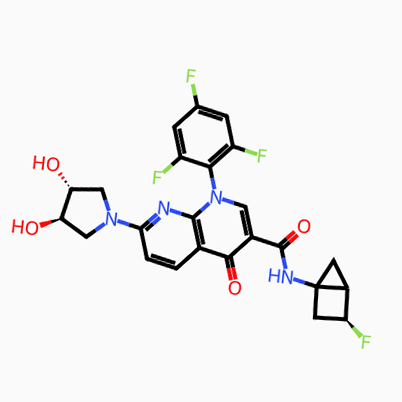 O=C(NC12CC1[C@@H](F)C2)c1cn(-c2c(F)cc(F)cc2F)c2nc(N3C[C@@H](O)[C@H](O)C3)ccc2c1=O